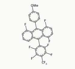 COc1ccc(-c2c3c(F)cccc3c(-c3c(F)c(F)c(C(F)(F)F)c(F)c3F)c3c(F)ccc(F)c23)cc1